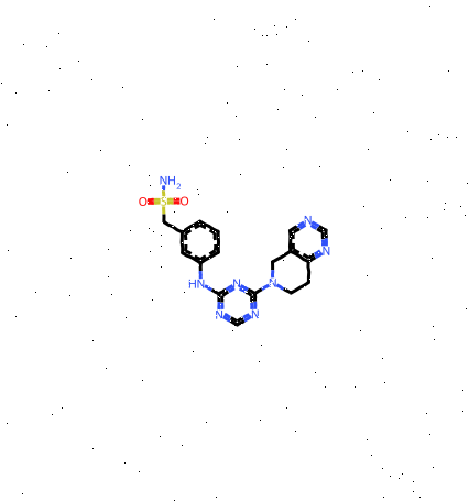 NS(=O)(=O)Cc1cccc(Nc2ncnc(N3CCc4ncncc4C3)n2)c1